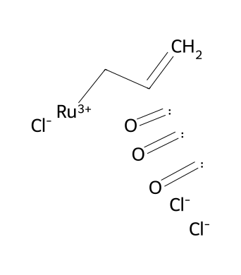 C=C[CH2][Ru+3].[C]=O.[C]=O.[C]=O.[Cl-].[Cl-].[Cl-]